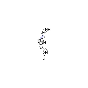 C=N/C(=C\C(=C/C)C(C)N1CCNCC1)Nc1nc2ccc(-c3cc(N(C)CC4CC4)ncn3)cc2[nH]1